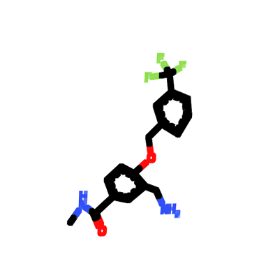 CNC(=O)c1ccc(OCc2cccc(C(F)(F)F)c2)c(CN)c1